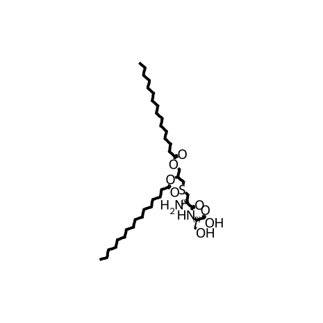 CCCCCCCCCCCCCCCC(=O)OCC(CSC[C@@H](N)C(=O)N[C@H](CO)C(=O)O)OC(=O)CCCCCCCCCCCCCCC